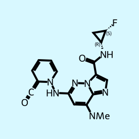 CNc1cc(NN2C=CC=CC2=C=O)nn2c(C(=O)N[C@@H]3C[C@@H]3F)cnc12